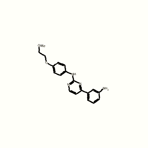 COCCOc1ccc(Nc2nccc(-c3cccc(N)c3)n2)cc1